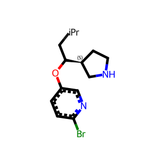 CC(C)CC(Oc1ccc(Br)nc1)[C@H]1CCNC1